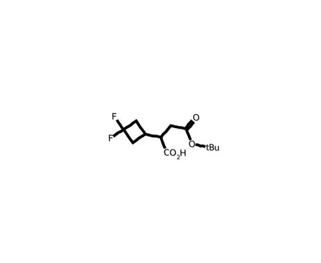 CC(C)(C)OC(=O)CC(C(=O)O)C1CC(F)(F)C1